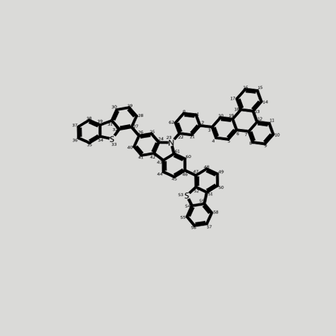 c1cc(-c2ccc3c4ccccc4c4ccccc4c3c2)cc(-n2c3cc(-c4cccc5c4sc4ccccc45)ccc3c3ccc(-c4cccc5c4sc4ccccc45)cc32)c1